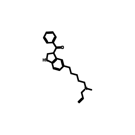 C=CCN(C)CCCCCc1ccc2c(c1)C(C(=O)c1ccccc1)CN2